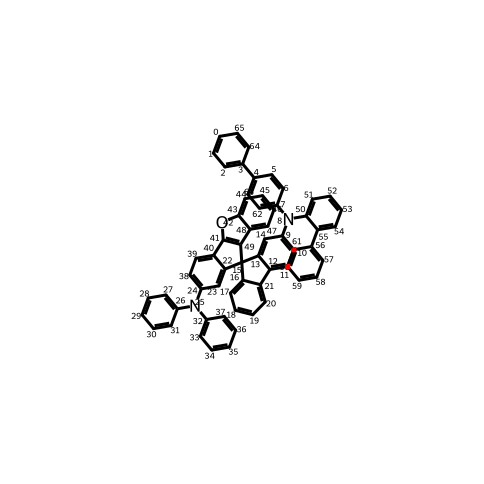 c1ccc(-c2ccc(N(c3ccc4c(c3)C3(c5ccccc5-4)c4cc(N(c5ccccc5)c5ccccc5)ccc4-c4oc5ccccc5c43)c3ccccc3-c3ccccc3)cc2)cc1